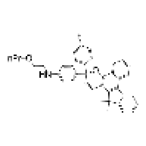 CCCOCCNc1ccc(C2(c3ccc(F)cc3)C=Cc3c4c(c5ccccc5c3O2)-c2ccccc2C4(C)C)cc1